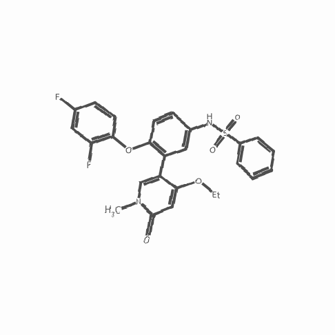 CCOc1cc(=O)n(C)cc1-c1cc(NS(=O)(=O)c2ccccc2)ccc1Oc1ccc(F)cc1F